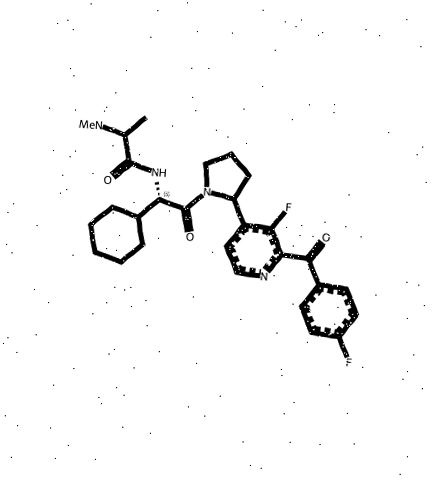 CNC(C)C(=O)N[C@H](C(=O)N1CCCC1c1ccnc(C(=O)c2ccc(F)cc2)c1F)C1CCCCC1